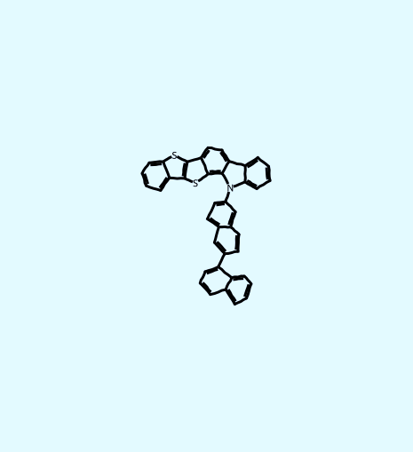 c1ccc2c(-c3ccc4cc(-n5c6ccccc6c6ccc7c8sc9ccccc9c8sc7c65)ccc4c3)cccc2c1